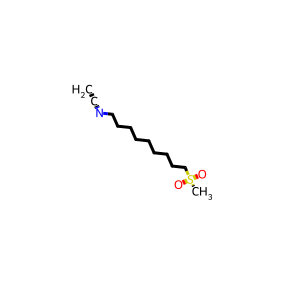 C=C=NCCCCCCCCCS(C)(=O)=O